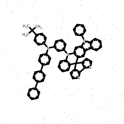 CC(C)(C)c1ccc(N(c2ccc(-c3ccc(-c4ccccc4)cc3)cc2)c2cccc(N3c4ccccc4C4(c5cc6c7ccccc7n(-c7ccccc7)c6cc53)c3ccsc3-c3sccc34)c2)cc1